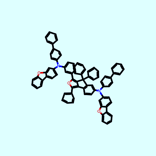 c1ccc(-c2ccc(N(c3cccc(-c4oc(-c5ccccc5)c5c4C(c4ccccc4)(c4ccccc4)c4cc(N(c6ccc(-c7ccccc7)cc6)c6ccc7c(c6)oc6ccccc67)ccc4-5)c3)c3ccc4c(c3)oc3ccccc34)cc2)cc1